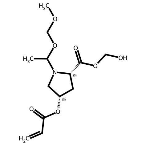 C=CC(=O)O[C@H]1C[C@@H](C(=O)OCO)N(C(C)OCOC)C1